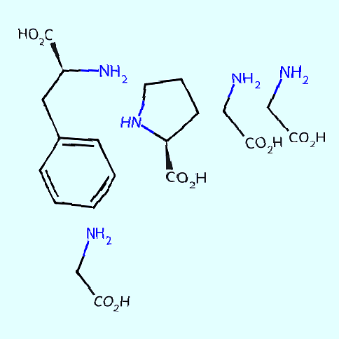 NCC(=O)O.NCC(=O)O.NCC(=O)O.N[C@@H](Cc1ccccc1)C(=O)O.O=C(O)[C@@H]1CCCN1